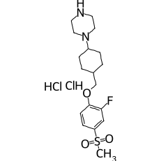 CS(=O)(=O)c1ccc(OCC2CCC(N3CCNCC3)CC2)c(F)c1.Cl.Cl